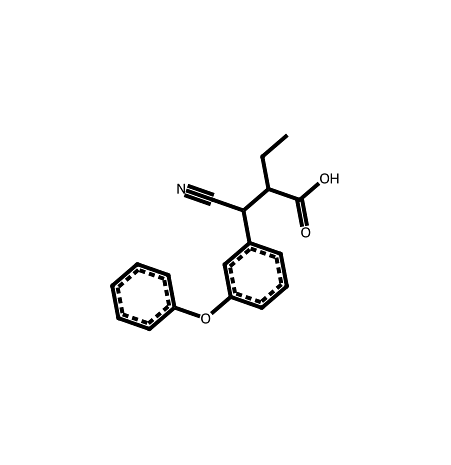 CCC(C(=O)O)C(C#N)c1cccc(Oc2ccccc2)c1